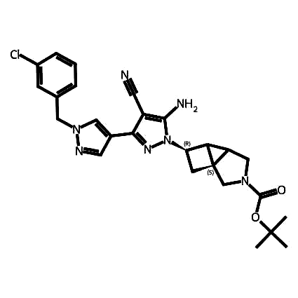 CC(C)(C)OC(=O)N1CC2C3[C@H](n4nc(-c5cnn(Cc6cccc(Cl)c6)c5)c(C#N)c4N)C[C@]23C1